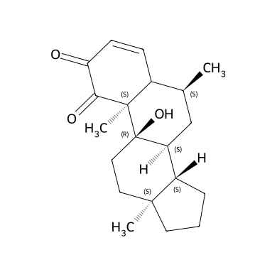 C[C@H]1C[C@H]2[C@@H]3CCC[C@@]3(C)CC[C@]2(O)[C@@]2(C)C(=O)C(=O)C=CC12